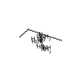 CCCCCCCC/C=C\CCCCCCCCN(CCCCCCCCCCCCCCCC)C(=O)C(N)C(N)C(=O)[C@H](N)CCCNC(=N)N